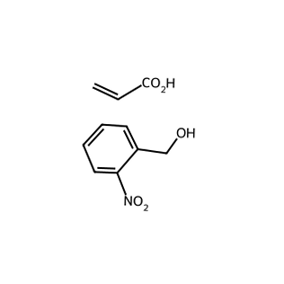 C=CC(=O)O.O=[N+]([O-])c1ccccc1CO